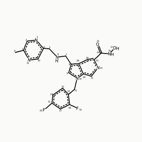 Cc1cnc(CNCc2cn(Cc3ccc(F)cc3F)c3cnc(C(=O)NO)cc23)cn1